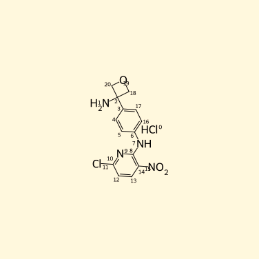 Cl.NC1(c2ccc(Nc3nc(Cl)ccc3[N+](=O)[O-])cc2)COC1